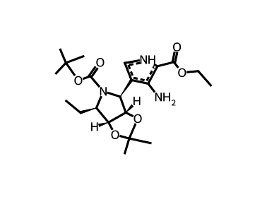 CCOC(=O)c1[nH]cc([C@H]2[C@@H]3OC(C)(C)O[C@@H]3[C@@H](CC)N2C(=O)OC(C)(C)C)c1N